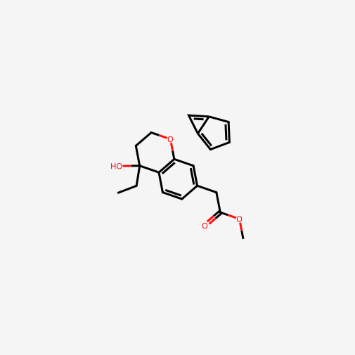 CCC1(O)CCOc2cc(CC(=O)OC)ccc21.c1cc2cc-2c1